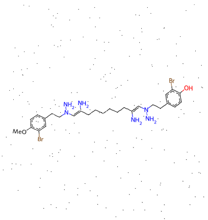 COc1ccc(CCN(N)/C=C(\N)CCCCCC/C(N)=C/N(N)CCc2ccc(O)c(Br)c2)cc1Br